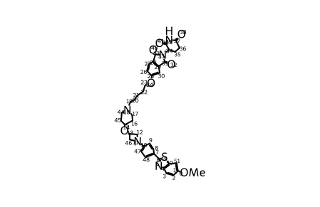 COc1ccc2nc(-c3ccc(N4CC(OC5CCN(CCCCCOc6ccc7c(c6)C(=O)N(C6CCC(=O)NC6=O)C7=O)CC5)C4)cc3)sc2c1